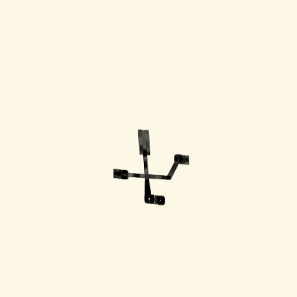 C#C[C@](O)(C=O)CO